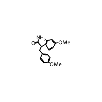 COc1ccc(CC(C(N)=O)c2ccc(OC)cc2)cc1